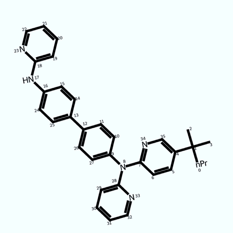 CCCC(C)(C)c1ccc(N(c2ccc(-c3ccc(Nc4ccccn4)cc3)cc2)c2ccccn2)nc1